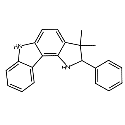 CC1(C)c2ccc3[nH]c4ccccc4c3c2NC1c1ccccc1